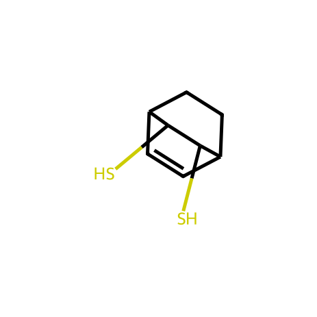 SC1C2C=CC(CC2)C1S